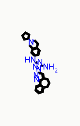 Nc1nc(Nc2ccc3c(c2)CN(C2CCCC2)CC3)nn1-c1cc2c(nn1)-c1ccccc1CCC2